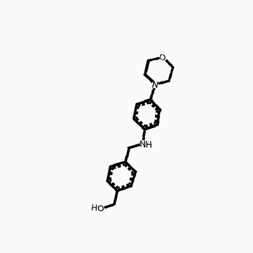 OCc1ccc(CNc2ccc(N3CCOCC3)cc2)cc1